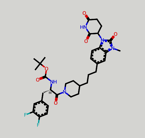 Cn1c(=O)n(C2CCC(=O)NC2=O)c2ccc(CCCC3CCN(C(=O)[C@H](Cc4ccc(F)c(F)c4)NC(=O)OC(C)(C)C)CC3)cc21